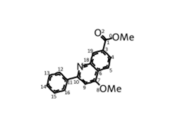 COC(=O)c1ccc2c(OC)cc(-c3ccccc3)nc2c1